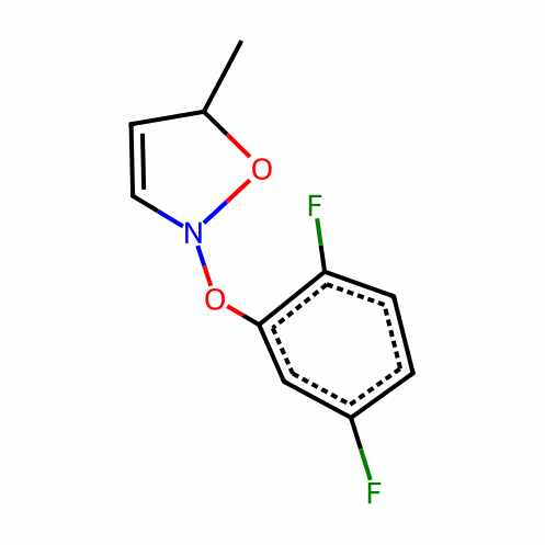 CC1C=CN(Oc2cc(F)ccc2F)O1